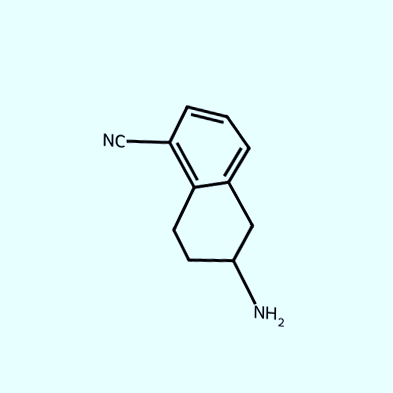 N#Cc1cccc2c1CCC(N)C2